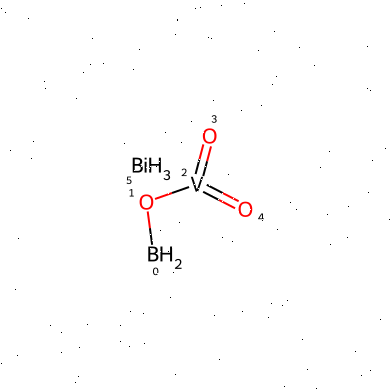 B[O][V](=[O])=[O].[BiH3]